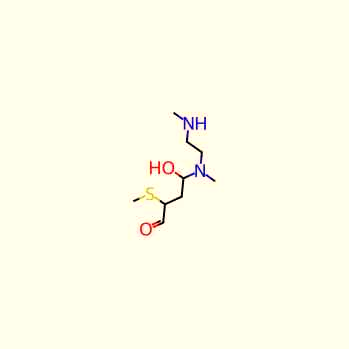 CNCCN(C)C(O)CC(C=O)SC